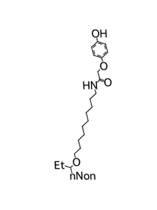 CCCCCCCCCC(CC)OCCCCCCCCCCNC(=O)COc1ccc(O)cc1